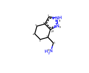 NCC1CCCc2c[nH]nc21